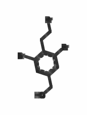 OCc1cc(Br)c(CCBr)c(Br)c1